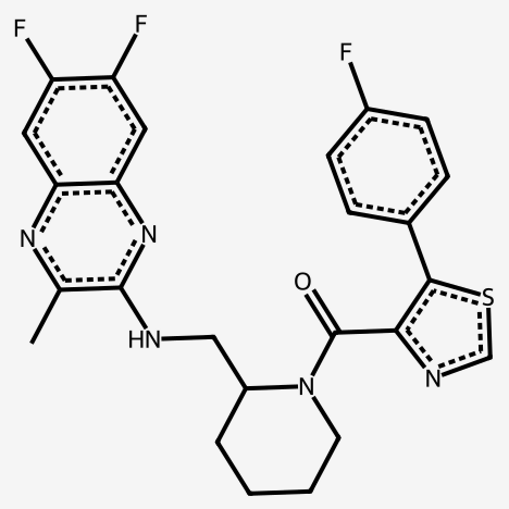 Cc1nc2cc(F)c(F)cc2nc1NCC1CCCCN1C(=O)c1ncsc1-c1ccc(F)cc1